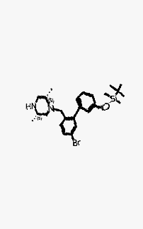 C[C@H]1CN(Cc2ccc(Br)cc2-c2cccc(O[Si](C)(C)C(C)(C)C)c2)[C@@H](C)CN1